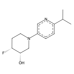 CC(C)c1ccc(N2CC[C@@H](F)[C@@H](O)C2)cn1